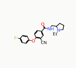 CCN1CCCC1CNC(=O)c1ccc(Oc2ccc(F)cc2)c(C#N)c1